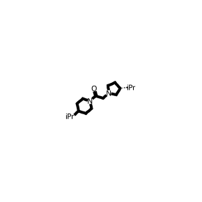 CC(C)C1CCN(C(=O)CN2CC[C@H](C(C)C)C2)CC1